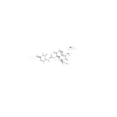 CC(C)(C)OC(=O)N(C(=O)OC(C)(C)C)c1ncc2ccc(C[n+]3ccc(N)cc3)cc2c1Br